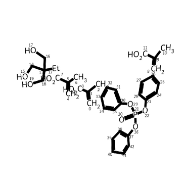 C=C(C)C(=O)O.C=C(C)C(=O)O.C=C(C)C(=O)O.CCC(CO)(CO)CO.O=P(Oc1ccccc1)(Oc1ccccc1)Oc1ccccc1